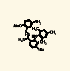 COc1ccc(N)cc1SNC(N)c1ccc(C(C)(C)C)nc1NC1=C(C)C=C(C)CC1C